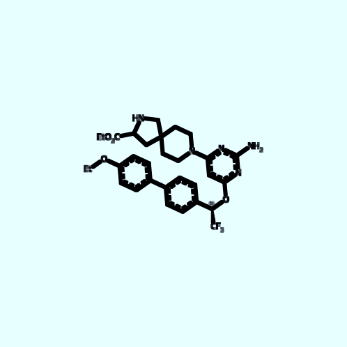 CCOC(=O)C1CC2(CCN(c3cc(O[C@H](c4ccc(-c5ccc(OCC)cc5)cc4)C(F)(F)F)nc(N)n3)CC2)CN1